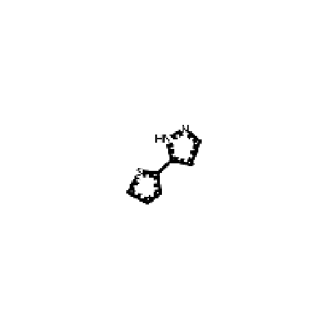 [c]1cn[nH]c1-c1cccs1